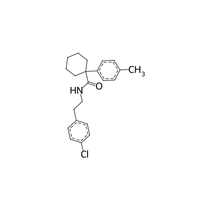 Cc1ccc(C2(C(=O)NCCc3ccc(Cl)cc3)CCCCC2)cc1